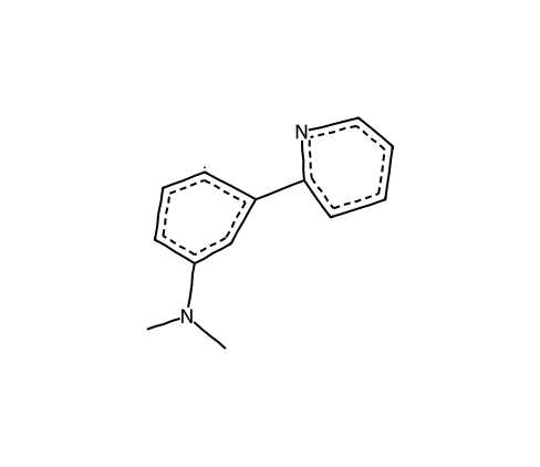 CN(C)c1cc[c]c(-c2ccccn2)c1